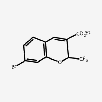 CCOC(=O)C1=Cc2ccc(Br)cc2OC1C(F)(F)F